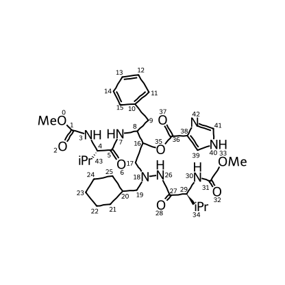 COC(=O)N[C@H](C(=O)NC(Cc1ccccc1)C(CN(CC1CCCCC1)NC(=O)[C@@H](NC(=O)OC)C(C)C)OC(=O)c1c[nH]cn1)C(C)C